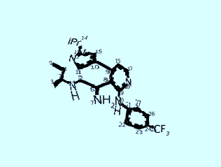 C=CC(=C)NCC(N)c1c(-c2cnn(C(C)C)c2)ccnc1Nc1ccc(C(F)(F)F)cc1